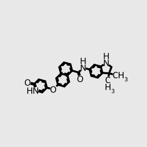 CC1(C)CNc2cc(NC(=O)c3cccc4cc(Oc5ccc(=O)[nH]c5)ccc34)ccc21